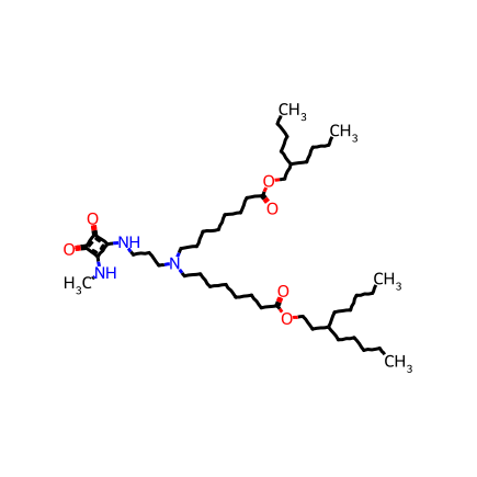 CCCCCC(CCCCC)CCOC(=O)CCCCCCCN(CCCCCCCC(=O)OCC(CCCC)CCCC)CCCNc1c(NC)c(=O)c1=O